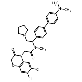 CN(C)c1ccc(-c2ccc(C(CN3CCCC3)N(C)C(=O)CN3C(=O)COc4cc(Cl)c(Cl)cc43)cc2)cc1